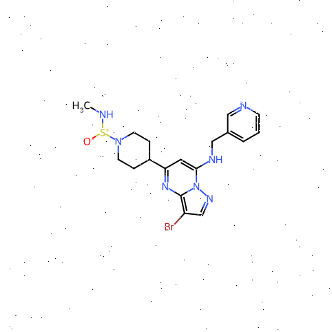 CN[S+]([O-])N1CCC(c2cc(NCc3cccnc3)n3ncc(Br)c3n2)CC1